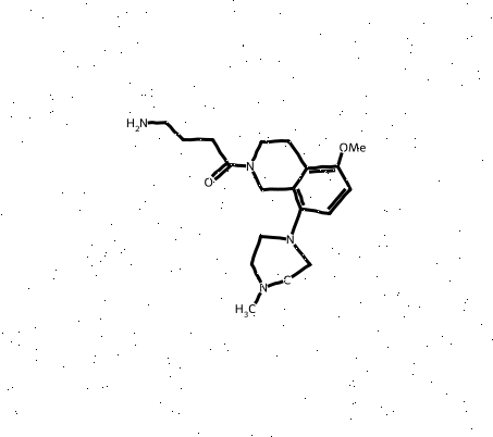 COc1ccc(N2CCN(C)CC2)c2c1CCN(C(=O)CCCN)C2